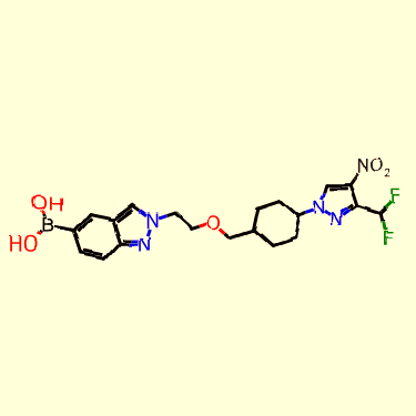 O=[N+]([O-])c1cn(C2CCC(COCCn3cc4cc(B(O)O)ccc4n3)CC2)nc1C(F)F